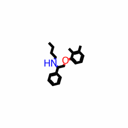 CCCCNC(COc1cccc(C)c1C)c1ccccc1